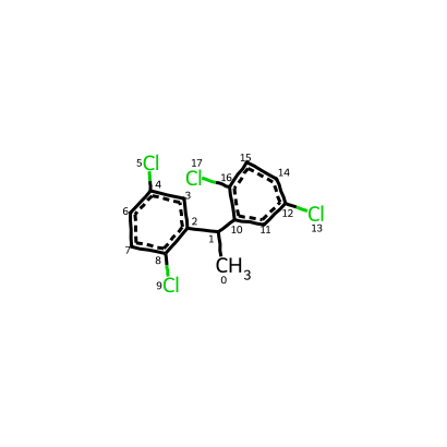 CC(c1cc(Cl)ccc1Cl)c1cc(Cl)ccc1Cl